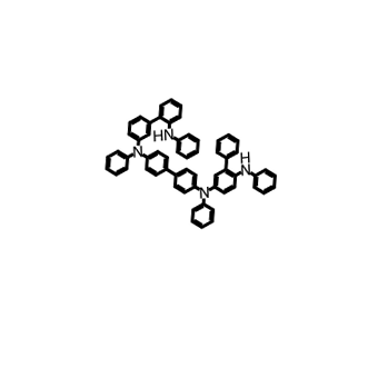 c1ccc(Nc2ccccc2-c2cccc(N(c3ccccc3)c3ccc(-c4ccc(N(c5ccccc5)c5ccc(Nc6ccccc6)c(-c6ccccc6)c5)cc4)cc3)c2)cc1